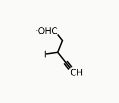 C#CC(I)C[C]=O